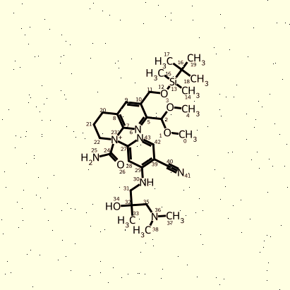 COC(OC)c1nc2c(cc1CO[Si](C)(C)C(C)(C)C)CCC[N+]2(C(N)=O)c1cc(NCC(C)(O)CN(C)C)c(C#N)cn1